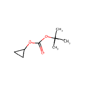 CC(C)(C)OC(=O)OC1CC1